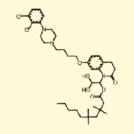 CCCCCC(C)(C)CC(C)(C)CC(=O)OC(C(O)O)N1C(=O)CCc2ccc(OCCCCN3CCN(c4cccc(Cl)c4Cl)CC3)cc21